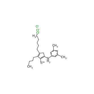 CCCCCC1=C(CCCC)[C]([Ti+3])=C([SiH2]c2cc(C)cc(C)c2)C1.[Cl-].[Cl-].[Cl-]